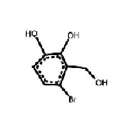 OCc1c(Br)ccc(O)c1O